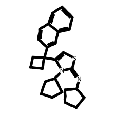 c1ccc2cc(C3(c4cs/c(=N/C5CCCC5)n4C4CCCC4)CCC3)ccc2c1